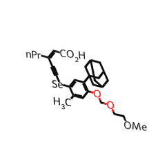 CCCC(C#C[Se]c1cc(C23CC4CC(CC(C4)C2)C3)c(OCOCCOC)cc1C)=CC(=O)O